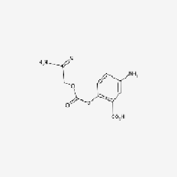 NC(=S)COC(=O)Oc1ccc(N)cc1C(=O)O